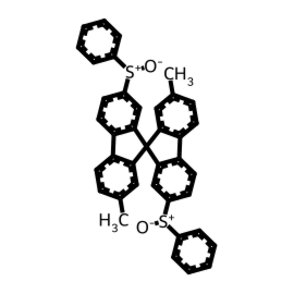 Cc1ccc2c(c1)C1(c3cc(C)ccc3-c3ccc([S+]([O-])c4ccccc4)cc31)c1cc([S+]([O-])c3ccccc3)ccc1-2